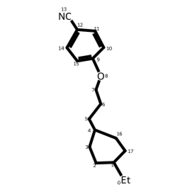 CCC1CCC(CCCOc2ccc(C#N)cc2)CC1